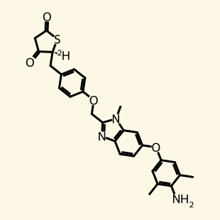 [2H][C@@]1(Cc2ccc(OCc3nc4ccc(Oc5cc(C)c(N)c(C)c5)cc4n3C)cc2)SC(=O)CC1=O